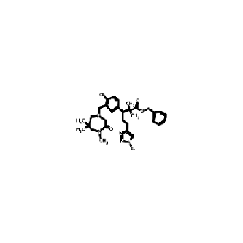 CCn1cc(CCC(c2ccc(Cl)c(CN3CC(=O)N(C)CC(C)(C)C3)c2)C(C)(C)C(=O)OCc2ccccc2)nn1